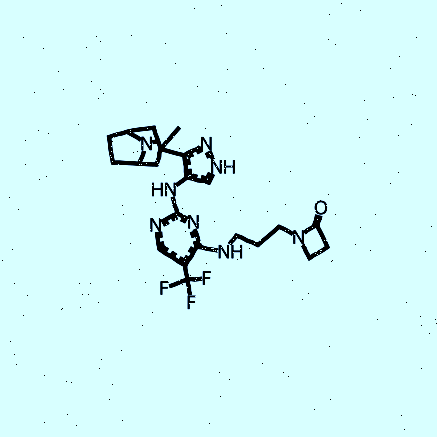 CN1C2CCC1CC(C)(c1n[nH]cc1Nc1ncc(C(F)(F)F)c(NCCCN3CCC3=O)n1)C2